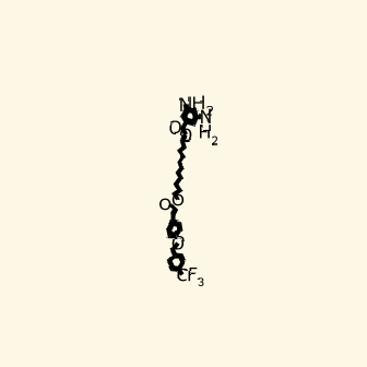 Nc1cc(N)cc(C(=O)OCCCCCCCCCCCOC(=O)C=Cc2ccc(OCC3CCC(C(F)(F)F)CC3)cc2)c1